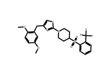 COc1ccc(OC)c(Cc2csc(N3CCC(S(=O)(=O)c4ccccc4C(F)(F)F)CC3)n2)c1